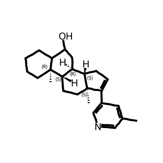 Cc1cncc(C2=CC[C@H]3[C@@H]4CC(O)C5CCCC[C@]5(C)[C@H]4CC[C@]23C)c1